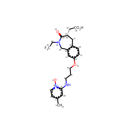 Cc1cc[n+]([O-])c(NCCCOc2ccc3c(c2)CN(CC(F)(F)F)C(=O)[C@H](CC(=O)O)C3)c1